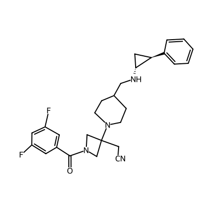 N#CCC1(N2CCC(CN[C@@H]3C[C@H]3c3ccccc3)CC2)CN(C(=O)c2cc(F)cc(F)c2)C1